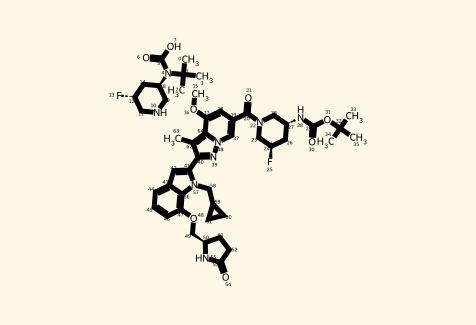 CC(C)(C)N(C(=O)O)[C@H]1CNC[C@H](F)C1.COc1cc(C(=O)N2C[C@H](F)C[C@@H](NC(=O)OC(C)(C)C)C2)cn2nc(-c3cc4cccc(OC[C@H]5CCC(=O)N5)c4n3CC3CC3)c(C)c12